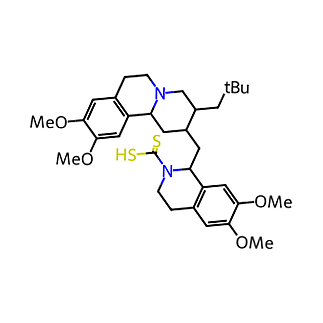 COc1cc2c(cc1OC)C1CC(CC3c4cc(OC)c(OC)cc4CCN3C(=S)S)C(CC(C)(C)C)CN1CC2